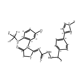 CC(NNC(=S)/N=C1\SCC(=O)N1c1cc(Cl)ccc1OC(F)(F)F)c1ccc(-c2ncn(C)n2)cc1